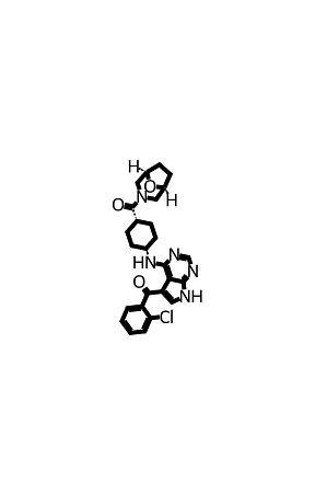 O=C(c1ccccc1Cl)c1c[nH]c2ncnc(N[C@H]3CC[C@@H](C(=O)N4C[C@H]5CC[C@@H](C4)O5)CC3)c12